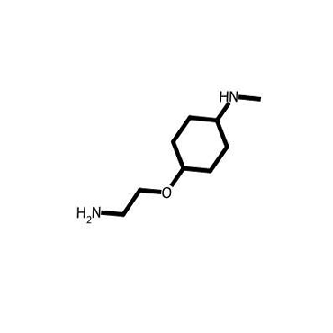 CNC1CCC(OCCN)CC1